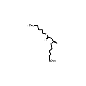 CCCCCCCCCCCCCCOC(=O)CC(=O)OCCCCCCCCCCCCCC